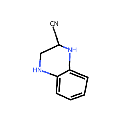 N#CC1CNc2ccccc2N1